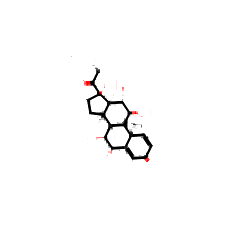 CC(=O)OCC(=O)[C@@]1(O)CC[C@H]2[C@@H]3[C@H](O)[C@H](O)C4=CC(=O)C=C[C@]4(C)[C@H]3C(O)C[C@@]21C